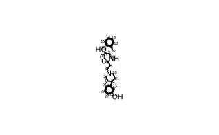 C[C@H]1CN(CCC(=O)N[C@@H](Cc2ccccc2)C(=O)O)CC[C@@]1(C)c1cccc(O)c1